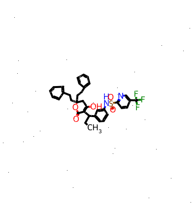 CCC(C1=C(O)CC(CCc2ccccc2)(CCc2ccccc2)OC1=O)c1cccc(NS(=O)(=O)c2ccc(C(F)(F)F)cn2)c1